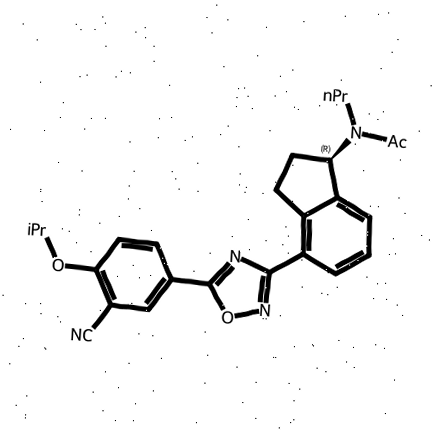 CCCN(C(C)=O)[C@@H]1CCc2c(-c3noc(-c4ccc(OC(C)C)c(C#N)c4)n3)cccc21